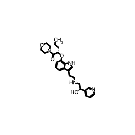 CCC[C@H](Oc1cccc2c(CCNC[C@H](O)c3cccnc3)c[nH]c12)C(=O)N1CCOCC1